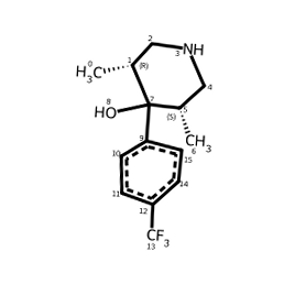 C[C@@H]1CNC[C@H](C)C1(O)c1ccc(C(F)(F)F)cc1